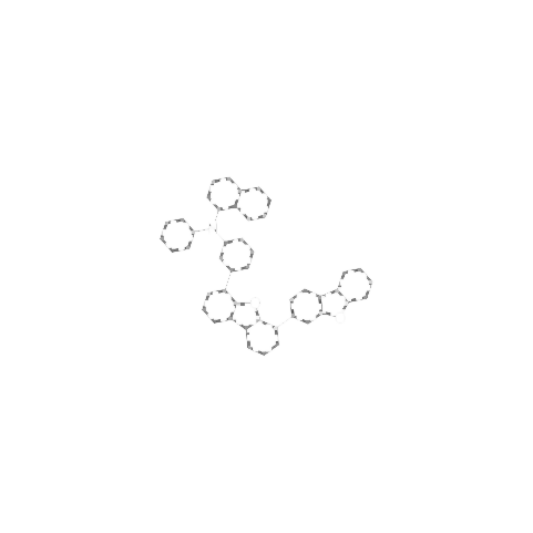 c1ccc(N(c2cccc(-c3cccc4c3oc3c(-c5ccc6c(c5)oc5ccccc56)cccc34)c2)c2cccc3ccccc23)cc1